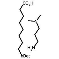 CCCCCCCCCCCCCCCCCC(=O)O.CN(C)CCCN